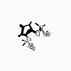 CCCC[Si](C)(C)OC1=C(O[Si](C)(C)CCCC)C(C)C(C)=C1C